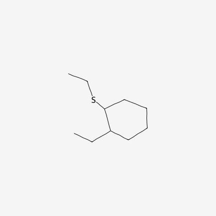 CCSC1CCCCC1CC